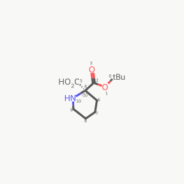 CC(C)(C)OC(=O)[C@@]1(C(=O)O)CCCCN1